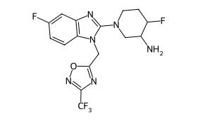 NC1CN(c2nc3cc(F)ccc3n2Cc2nc(C(F)(F)F)no2)CCC1F